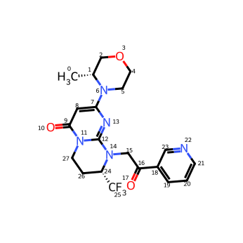 C[C@@H]1COCCN1c1cc(=O)n2c(n1)N(CC(=O)c1cccnc1)[C@H](C(F)(F)F)CC2